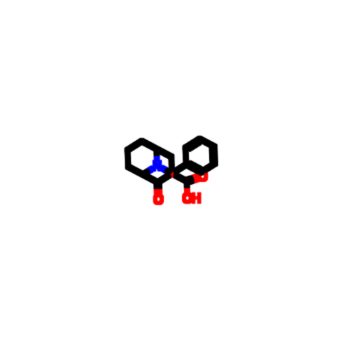 O=C(O)C1CC2CCCC(C1=O)N2Cc1ccccc1